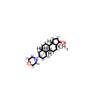 C[C@]12CC[C@H]3C(CC[C@H]4C[C@@H](N5CCOCC5)CC[C@@H]43)[C@@H]1CCC2=O